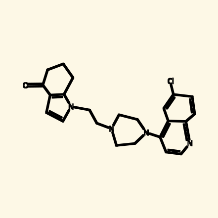 O=C1CCCc2c1ccn2CCN1CCN(c2ccnc3ccc(Cl)cc23)CC1